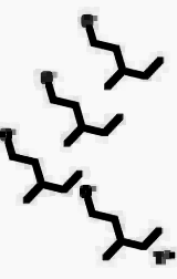 CCC(C)CC[O-].CCC(C)CC[O-].CCC(C)CC[O-].CCC(C)CC[O-].[Ti+4]